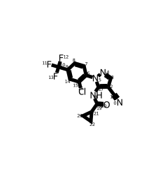 N#Cc1cnn(-c2ccc(C(F)(F)F)cc2Cl)c1NC(=O)C1CC1